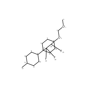 COCOC12CCC(C3CCC(C)CC3)(CC1)C(F)(F)C2F